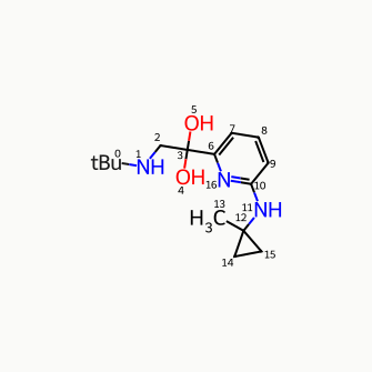 CC(C)(C)NCC(O)(O)c1cccc(NC2(C)CC2)n1